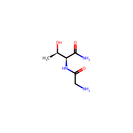 C[C@@H](O)[C@H](NC(=O)CN)C(N)=O